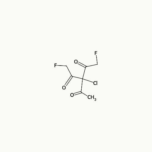 CC(=O)C(Cl)(C(=O)CF)C(=O)CF